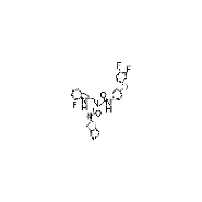 CN(C(=O)CN(CC(=O)Nc1ccc(Oc2ccc(F)c(F)c2)cc1)Cc1cc2cccc(F)c2[nH]1)C1Cc2ccccc2C1